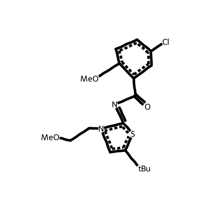 COCCn1cc(C(C)(C)C)sc1=NC(=O)c1cc(Cl)ccc1OC